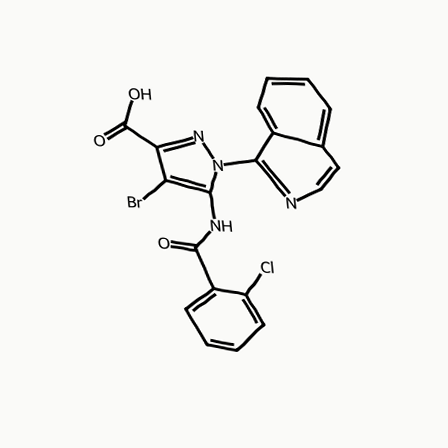 O=C(Nc1c(Br)c(C(=O)O)nn1-c1nccc2ccccc12)c1ccccc1Cl